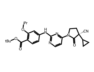 CC(C)Oc1cc(Nc2nccc(N3CC[C@@](C#N)(C4CC4)C3=O)n2)ccc1C(=O)OC(C)(C)C